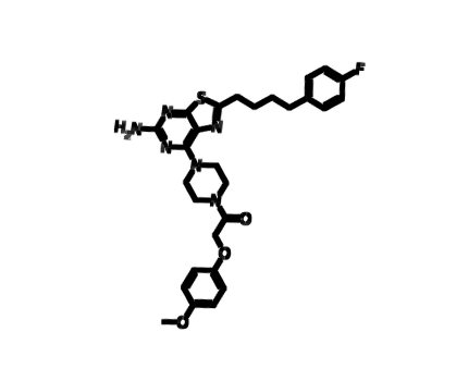 COc1ccc(OCC(=O)N2CCN(c3nc(N)nc4sc(CCCCc5ccc(F)cc5)nc34)CC2)cc1